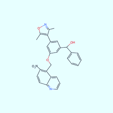 Cc1noc(C)c1-c1cc(OCc2c([N+](=O)[O-])ccc3ncccc23)cc(C(O)c2ccccc2)c1